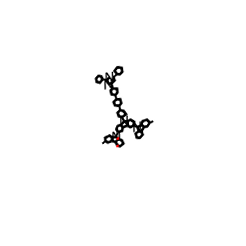 Cc1ccc2c(c1)c1ccccc1n2-c1ccc2c(c1)c1cc(-n3c4ccccc4c4cc(C)ccc43)ccc1n2-c1ccc(-c2ccc(-c3ccc(-c4cc(-c5ccccc5)nc(-c5ccccc5)n4)cc3)cc2)cc1